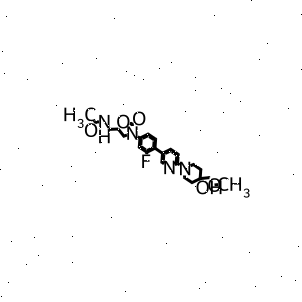 COCC1(O)CCN(c2ccc(-c3ccc(N4CC(CNC(C)=O)OC4=O)cc3F)cn2)CC1